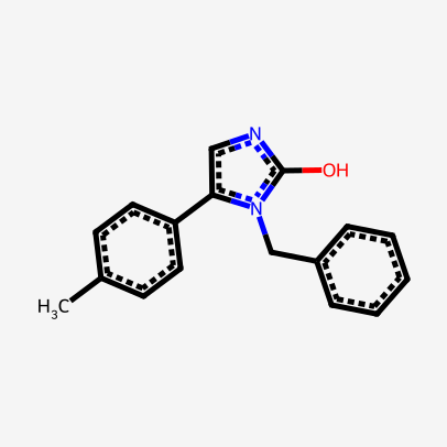 Cc1ccc(-c2cnc(O)n2Cc2ccccc2)cc1